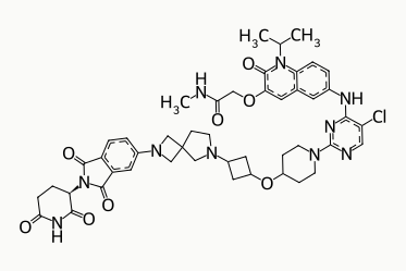 CNC(=O)COc1cc2cc(Nc3nc(N4CCC(OC5CC(N6CCC7(CN(c8ccc9c(c8)C(=O)N([C@@H]8CCC(=O)NC8=O)C9=O)C7)C6)C5)CC4)ncc3Cl)ccc2n(C(C)C)c1=O